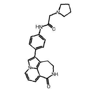 O=C(CN1CCCC1)Nc1ccc(-c2cn3cccc4c3c2CCNC4=O)cc1